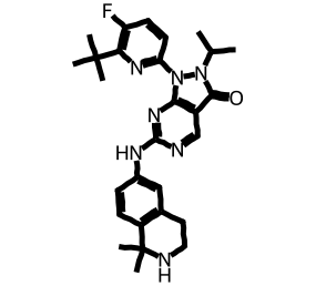 CC(C)n1c(=O)c2cnc(Nc3ccc4c(c3)CCNC4(C)C)nc2n1-c1ccc(F)c(C(C)(C)C)n1